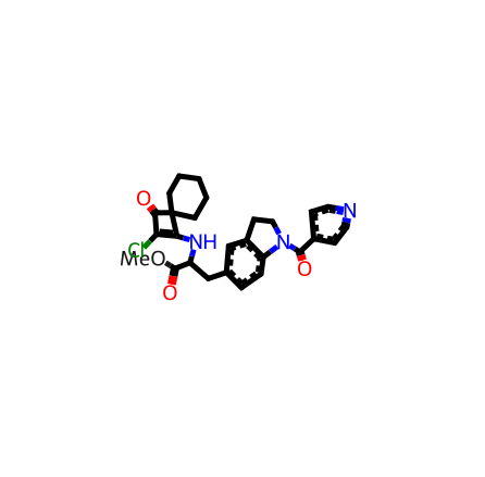 COC(=O)C(Cc1ccc2c(c1)CCN2C(=O)c1ccncc1)NC1=C(Cl)C(=O)C12CCCCC2